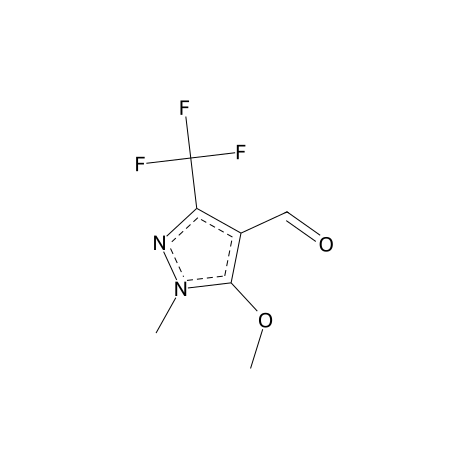 COc1c(C=O)c(C(F)(F)F)nn1C